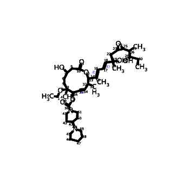 CCOC1(C)CCC(O)CC(=O)OC(/C(C)=C/C=C/C(C)(O)CC2OC2C(C)C(O)CC)C(C)/C=C/C1OC(=O)N1CCC(N2CCCCC2)CC1